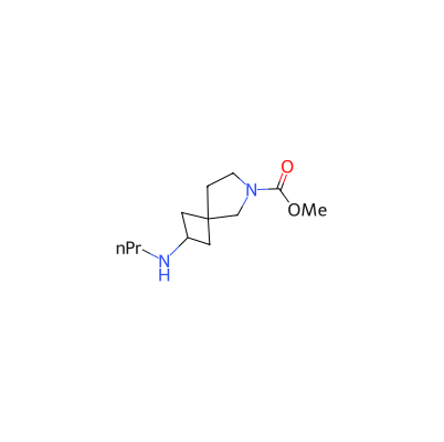 CCCNC1CC2(CCN(C(=O)OC)C2)C1